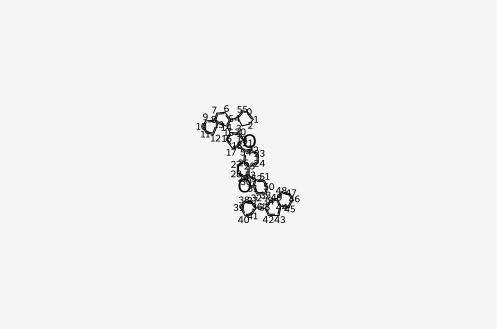 C1=CCCC(c2ccc3ccccc3c2-c2ccc3c(c2)oc2ccc4c(ccc5oc6cc(-c7c(-c8ccccc8)ccc8ccccc78)ccc6c54)c23)=C1